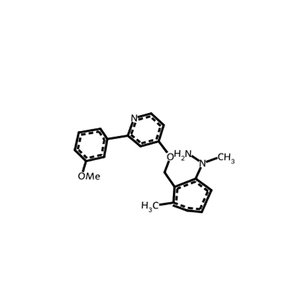 COc1cccc(-c2cc(OCc3c(C)cccc3N(C)N)ccn2)c1